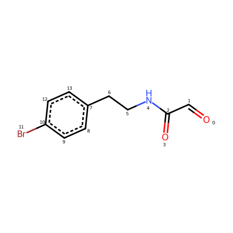 O=CC(=O)NCCc1ccc(Br)cc1